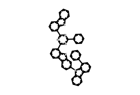 c1ccc(-c2nc(-c3cccc4c3sc3ccccc34)nc(-c3cccc4c3sc3cc(-n5c6ccccc6c6cccc(-c7ccccc7)c65)ccc34)n2)cc1